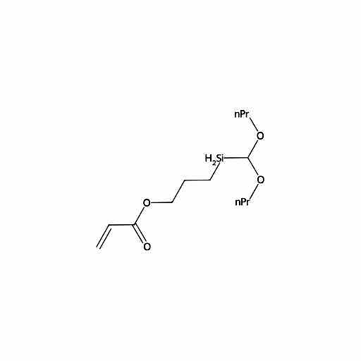 C=CC(=O)OCCC[SiH2]C(OCCC)OCCC